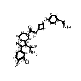 N=Cc1ccc(O[C@H]2C[C@H](NC(=O)N3CCn4nc(-c5ccc(F)c(Cl)c5)c(C(N)=O)c4C3)C2)cc1